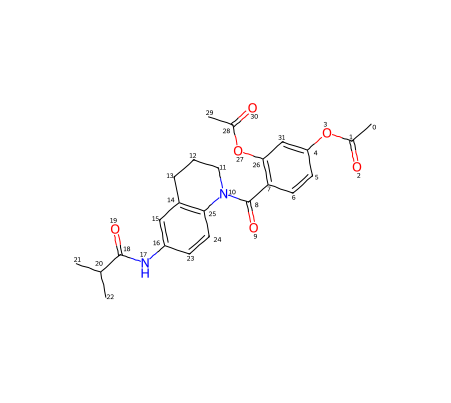 CC(=O)Oc1ccc(C(=O)N2CCCc3cc(NC(=O)C(C)C)ccc32)c(OC(C)=O)c1